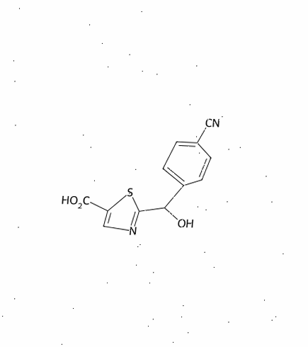 N#Cc1ccc(C(O)c2ncc(C(=O)O)s2)cc1